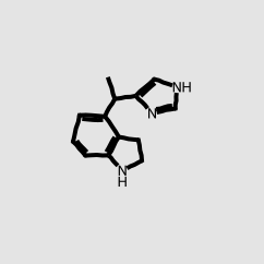 CC(c1c[nH]cn1)c1cccc2c1CCN2